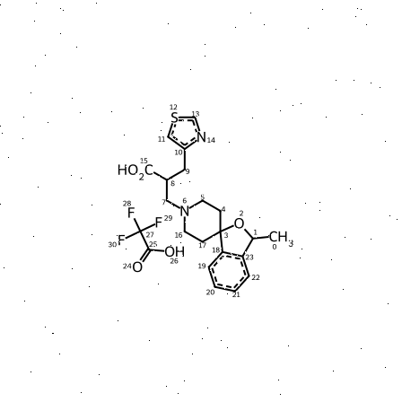 CC1OC2(CCN(CC(Cc3cscn3)C(=O)O)CC2)c2ccccc21.O=C(O)C(F)(F)F